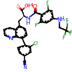 N#Cc1ccc(-c2ccc(C[C@H](NC(=O)c3c(F)cc(NCC(F)(F)F)cc3F)C(=O)O)c3cccnc23)c(Cl)c1